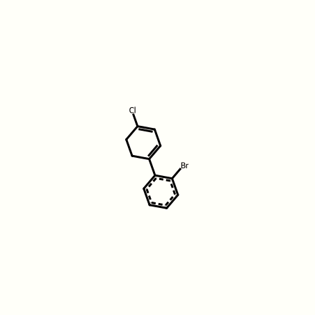 ClC1=CC=C(c2ccccc2Br)CC1